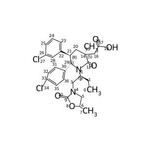 CC[C@@H](CN1CC(C)OC1=O)N1C(=O)[C@](C)(CC(=O)O)C[C@H](c2cccc(Cl)c2)[C@H]1c1ccc(Cl)cc1